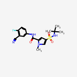 Cn1cc(S(=O)(=O)NC(C)(C)C)cc1C(=O)Nc1ccc(F)c(C#N)c1